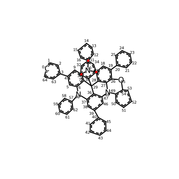 c1ccc(-c2cc3c4c(c2)N(c2ccccc2)c2cc(-c5ccccc5)c5c6c2C4(c2ccccc2)c2c(cc(-c4ccccc4)cc2N6c2ccccc2O5)N3c2ccccc2)cc1